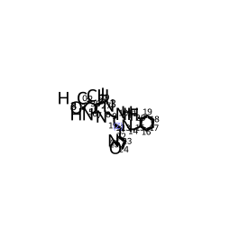 CC1(C)C(=O)Nc2nc(C(=N)/C=C(\NCc3ccccc3F)c3ccon3)nc(I)c21